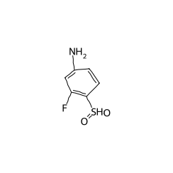 Nc1ccc([SH](=O)=O)c(F)c1